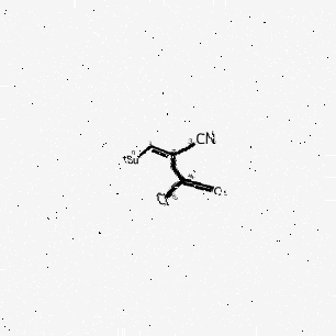 CC(C)(C)C=C(C#N)C(=O)Cl